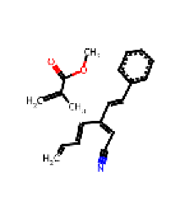 C=C(C)C(=O)OC.C=CC=CC(C=Cc1ccccc1)=CC#N